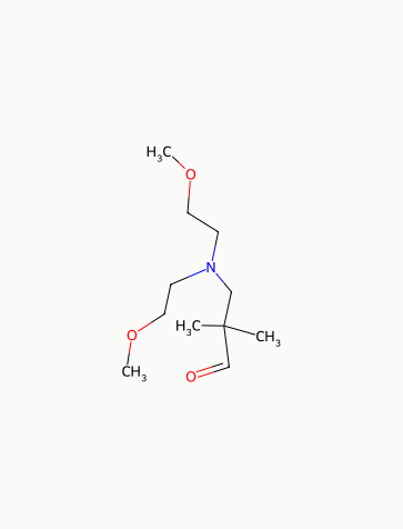 COCCN(CCOC)CC(C)(C)C=O